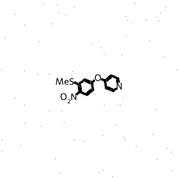 CSc1cc(Oc2ccncc2)ccc1[N+](=O)[O-]